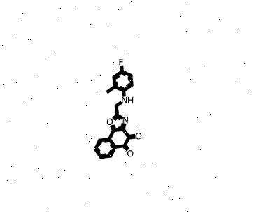 Cc1cc(F)ccc1NCc1nc2c(o1)-c1ccccc1C(=O)C2=O